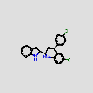 Clc1ccc([C@@H]2C[C@H](C3Cc4ccccc4N3)Nc3ccc(Cl)cc32)cc1